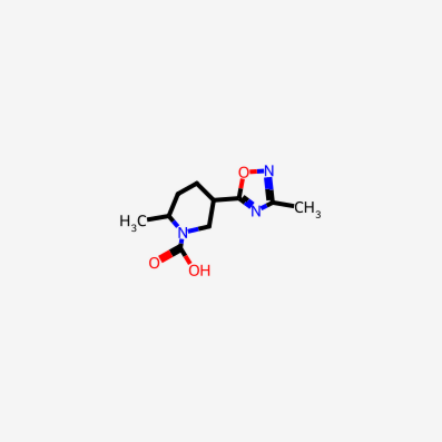 Cc1noc(C2CCC(C)N(C(=O)O)C2)n1